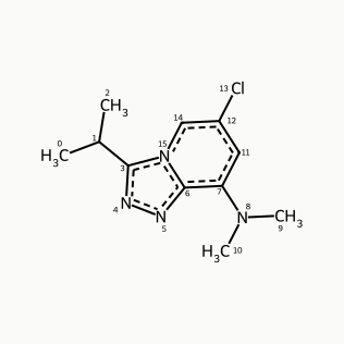 CC(C)c1nnc2c(N(C)C)cc(Cl)cn12